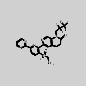 CCS(=O)(=O)c1ccc(-c2ncccn2)nc1-c1cc2c(cn1)N(CC(F)(F)C(F)(F)F)C(=O)CC2